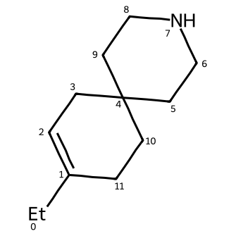 CCC1=CCC2(CCNCC2)CC1